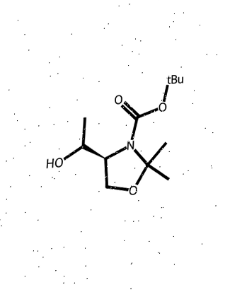 CC(O)[C@@H]1COC(C)(C)N1C(=O)OC(C)(C)C